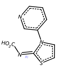 O=C(O)/N=c1/sccn1-c1cccnc1